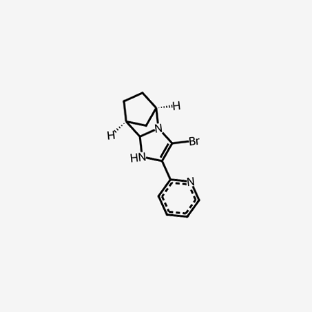 BrC1=C(c2ccccn2)NC2[C@H]3CC[C@H](C3)N12